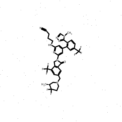 C[C@H]1CN(Cc2cc3c(c(C(F)(F)F)c2)CN(c2cc(-c4cc(C(F)(F)F)ccc4-c4nncn4C)cc(NCCCC#N)n2)C3=O)CCC1(F)F